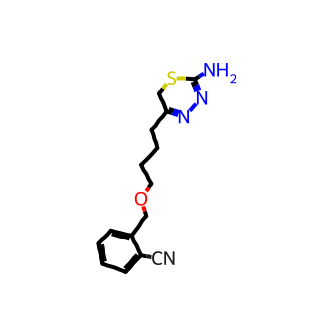 N#Cc1ccccc1COCCCCC1=NN=C(N)SC1